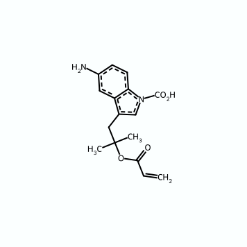 C=CC(=O)OC(C)(C)Cc1cn(C(=O)O)c2ccc(N)cc12